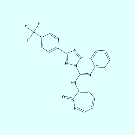 O=c1nccccc1Nc1nc2ccccc2c2nc(-c3ccc(C(F)(F)F)cc3)nn12